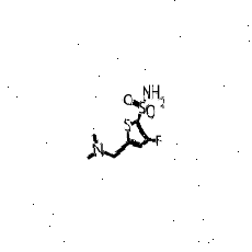 CN(C)Cc1cc(F)c(S(N)(=O)=O)s1